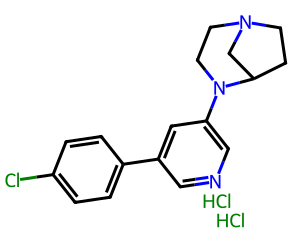 Cl.Cl.Clc1ccc(-c2cncc(N3CCN4CCC3C4)c2)cc1